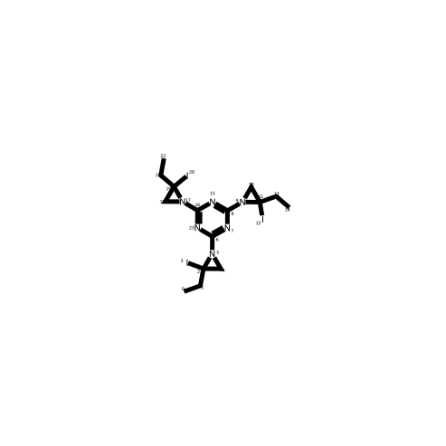 CCC1(I)CN1c1nc(N2CC2(I)CC)nc(N2CC2(I)CC)n1